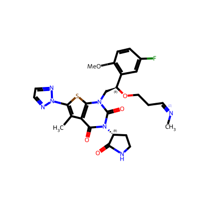 C/N=C\CCO[C@@H](Cn1c(=O)n([C@@H]2CCNC2=O)c(=O)c2c(C)c(-n3nccn3)sc21)c1cc(F)ccc1OC